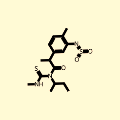 CCC(C)N(C(=O)C(C)c1ccc(C)c(N=S(=O)=O)c1)C(=S)NC